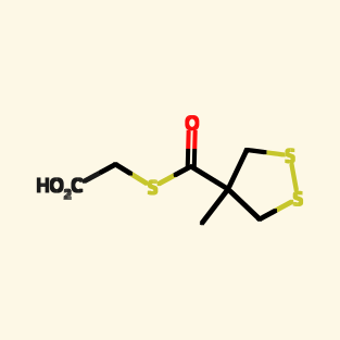 CC1(C(=O)SCC(=O)O)CSSC1